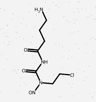 NCCCC(=O)NC(=O)N(CCCl)N=O